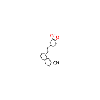 N#Cc1ccc2cccc(/C=C/c3ccc4c(c3)OCO4)c2c1